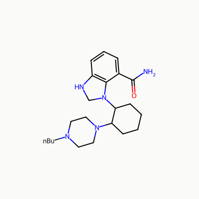 CCCCN1CCN(C2CCCCC2N2CNc3cccc(C(N)=O)c32)CC1